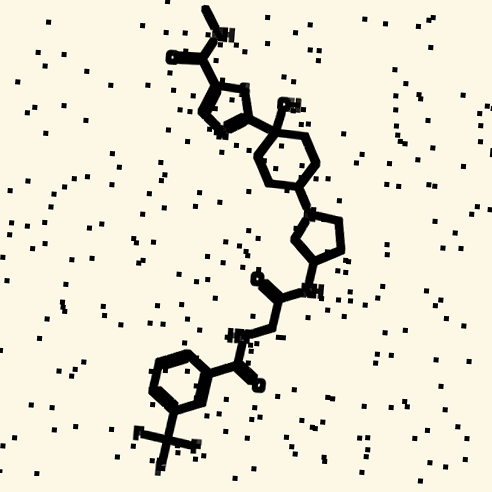 CNC(=O)c1cnc(C2(O)CCC(N3CCC(NC(=O)CNC(=O)c4cccc(C(F)(F)F)c4)C3)CC2)s1